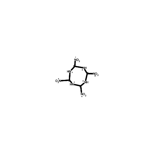 O=[N+]([O-])C1NC([N+](=O)[O-])NC([N+](=O)[O-])NC([N+](=O)[O-])N1